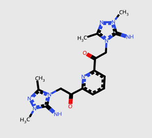 Cc1nn(C)c(=N)n1CC(=O)c1cccc(C(=O)Cn2c(C)nn(C)c2=N)n1